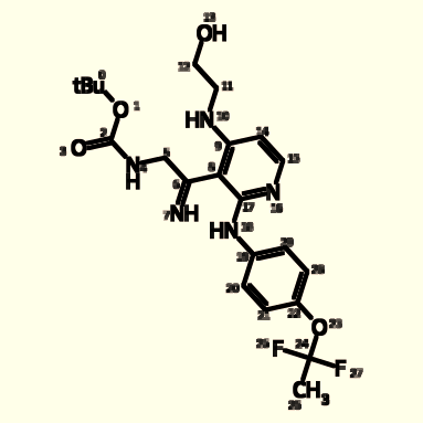 CC(C)(C)OC(=O)NCC(=N)c1c(NCCO)ccnc1Nc1ccc(OC(C)(F)F)cc1